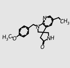 CCc1cnc2c(c1)C1(CNC(=O)C1)CN2Cc1ccc(OC)cc1